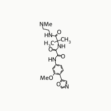 CNCCNC(=O)C(C)(C)NC(=O)C(=O)Nc1ccc(-c2cnco2)c(OC)c1